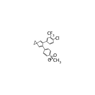 CS(=O)(=O)c1ccc(C2=CC3(C=C2c2ccc(Cl)c(C(F)(F)F)c2)CC3)cc1